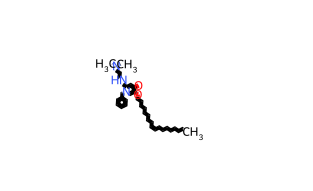 CCCCCCCC/C=C\CCCCCCCCOc1cn(Cc2ccccc2)c(CNCCCN(C)C)cc1=O